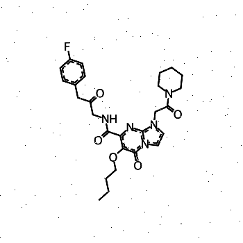 CCCCOc1c(C(=O)NCC(=O)Cc2ccc(F)cc2)nc2n(CC(=O)N3CCCCC3)ccn2c1=O